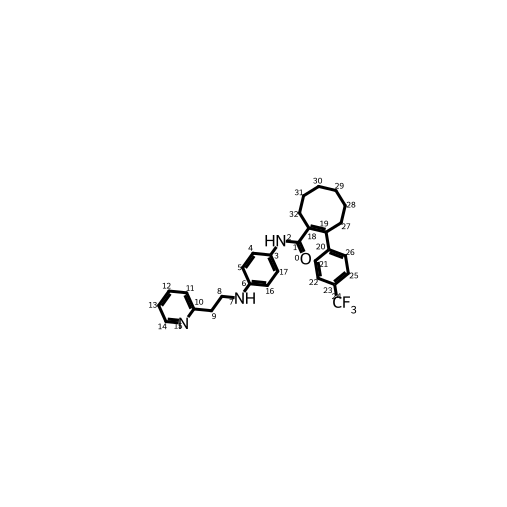 O=C(Nc1ccc(NCCc2ccccn2)cc1)C1=C(c2ccc(C(F)(F)F)cc2)CCCCCC1